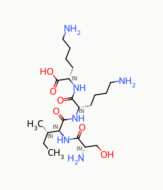 CC[C@H](C)[C@H](NC(=O)[C@@H](N)CO)C(=O)N[C@@H](CCCCN)C(=O)N[C@@H](CCCCN)C(=O)O